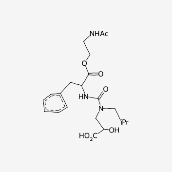 CC(=O)NCCOC(=O)C(Cc1ccccc1)NC(=O)N(CC(C)C)CC(O)C(=O)O